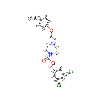 O=Cc1ccc(OCCN2CCN(C(=O)OCc3cc(Cl)cc(Cl)c3)CC2)cc1